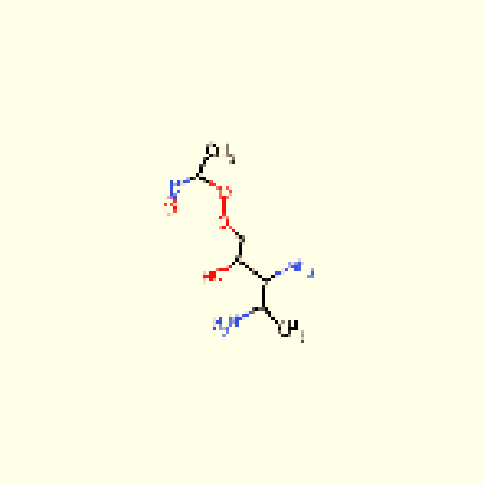 CC(N=O)OOCC(O)C(N)C(C)N